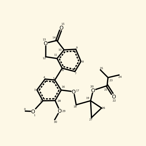 COc1ccc(-c2cccc3c2COC3=O)c(OCC2(OC(=O)C(C)C)CC2)c1OC